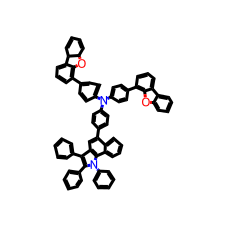 C1=CC2Oc3c(-c4ccc(N(c5ccc(-c6cc7c(-c8ccccc8)c(-c8ccccc8)n(-c8ccccc8)c7c7ccccc67)cc5)c5ccc(-c6cccc7c6oc6ccccc67)cc5)cc4)cccc3C2C=C1